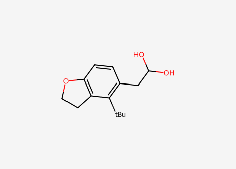 CC(C)(C)c1c(CC(O)O)ccc2c1CCO2